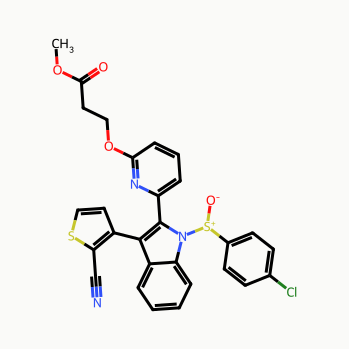 COC(=O)CCOc1cccc(-c2c(-c3ccsc3C#N)c3ccccc3n2[S+]([O-])c2ccc(Cl)cc2)n1